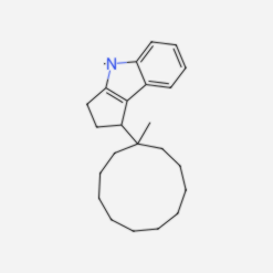 CC1(C2CCC3=C2c2ccccc2[N]3)CCCCCCCCCC1